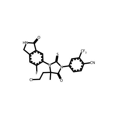 CC1(CCCl)C(=O)N(c2ccc(C#N)c(C(F)(F)F)c2)C(=S)N1c1cc2c(cc1F)CNC2=O